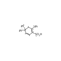 CC(C)C1=C(S(=O)(=O)O)C=CC(C(C)C)(C(C)C)C1